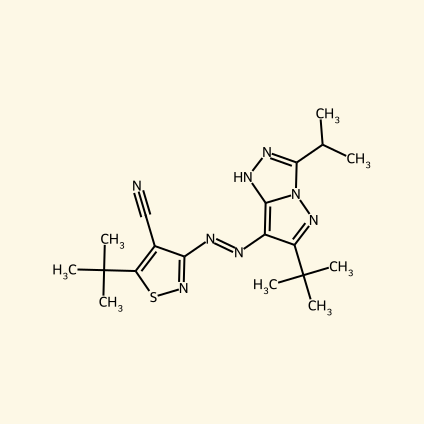 CC(C)c1n[nH]c2c(N=Nc3nsc(C(C)(C)C)c3C#N)c(C(C)(C)C)nn12